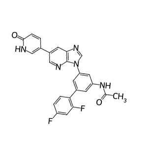 CC(=O)Nc1cc(-c2ccc(F)cc2F)cc(-n2cnc3cc(-c4ccc(=O)[nH]c4)cnc32)c1